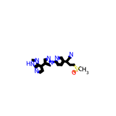 C[S+]([O-])CCC(C#N)c1ccc(-n2cc(-c3ccnc4[nH]cnc34)cn2)nc1